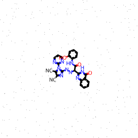 N#Cc1nc(N=NC(C(=O)Nc2ccccc2O)c2nc3ccccc3c(=O)[nH]2)n(-c2ncccn2)c1C#N